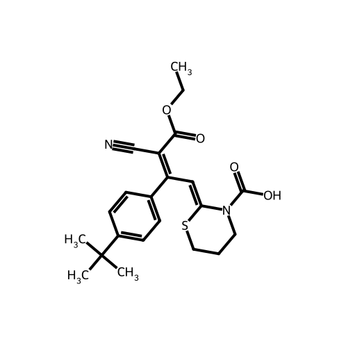 CCOC(=O)/C(C#N)=C(\C=C1/SCCCN1C(=O)O)c1ccc(C(C)(C)C)cc1